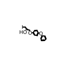 O[C@H](CI)COc1ccc(Oc2ccccc2)cc1